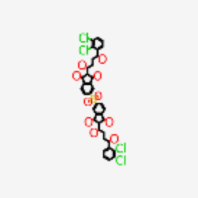 O=C(CCC(=O)C1C(=O)c2ccc(S(=O)(=O)c3ccc4c(c3)C(=O)C(C(=O)CCC(=O)c3cccc(Cl)c3Cl)C4=O)cc2C1=O)c1cccc(Cl)c1Cl